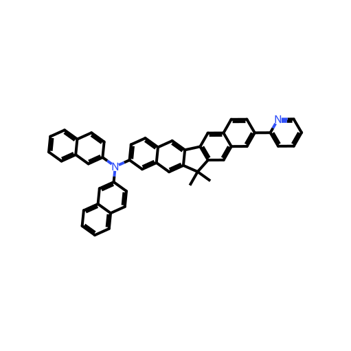 CC1(C)c2cc3cc(-c4ccccn4)ccc3cc2-c2cc3ccc(N(c4ccc5ccccc5c4)c4ccc5ccccc5c4)cc3cc21